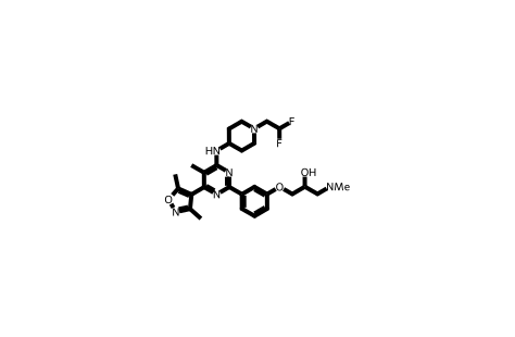 CNCC(O)COc1cccc(-c2nc(NC3CCN(CC(F)F)CC3)c(C)c(-c3c(C)noc3C)n2)c1